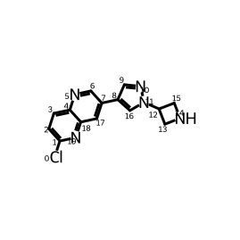 Clc1ccc2ncc(-c3cnn(C4CNC4)c3)cc2n1